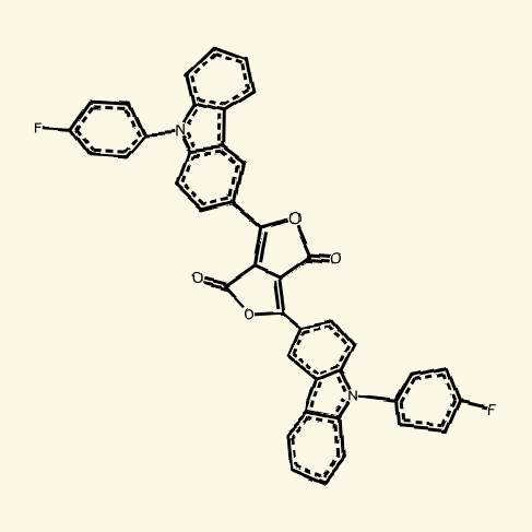 O=C1OC(c2ccc3c(c2)c2ccccc2n3-c2ccc(F)cc2)=C2C(=O)OC(c3ccc4c(c3)c3ccccc3n4-c3ccc(F)cc3)=C12